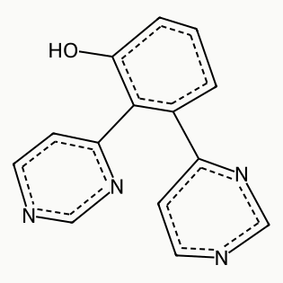 Oc1cccc(-c2ccncn2)c1-c1ccncn1